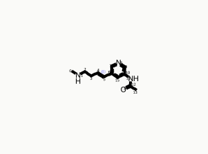 CNCC/C=C/c1cncc(NC(C)=O)c1